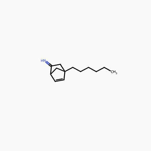 CCCCCCC12C=CC(C1)C(=N)C2